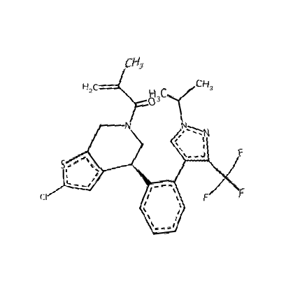 C=C(C)C(=O)N1Cc2sc(Cl)cc2[C@H](c2ccccc2-c2cn(C(C)C)nc2C(F)(F)F)C1